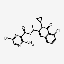 C[C@H](NC(=O)c1nc(Br)cnc1N)c1cc2cccc(Cl)c2c(=O)n1C1CC1